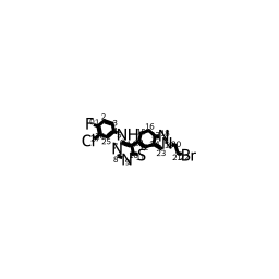 Fc1ccc(Nc2ncnc3sc4c(c23)CCc2nn(CCBr)cc2-4)cc1Cl